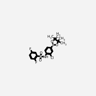 CC1(C)OB(c2ccc(NS(=O)(=O)c3cc(F)ccc3F)c(Cl)c2)OC1(C)C